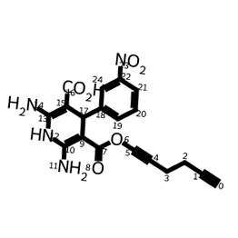 C#CCCC#COC(=O)C1=C(N)NC(N)=C(C(=O)O)C1c1cccc([N+](=O)[O-])c1